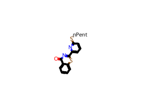 CCCCCSc1cccc(-c2nc(=O)c3ccccc3s2)n1